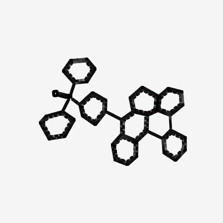 O=P(c1ccccc1)(c1ccccc1)c1ccc(-c2c3ccccc3c(-c3ccccc3-c3ccccc3)c3ccccc23)cc1